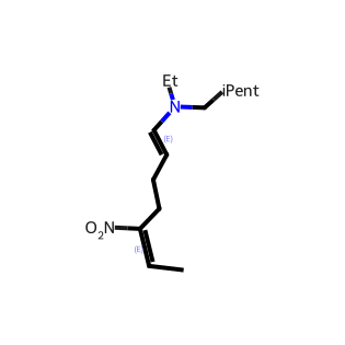 C/C=C(\CC/C=C/N(CC)CC(C)CCC)[N+](=O)[O-]